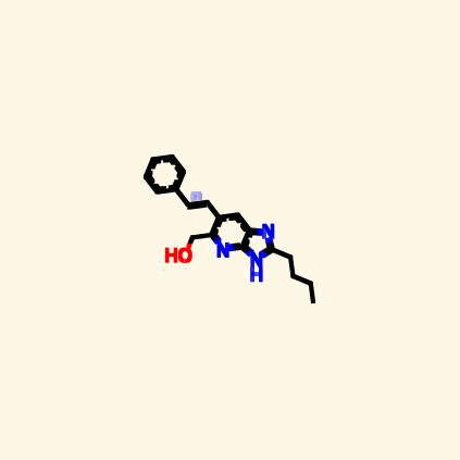 CCCCc1nc2cc(/C=C/c3ccccc3)c(CO)nc2[nH]1